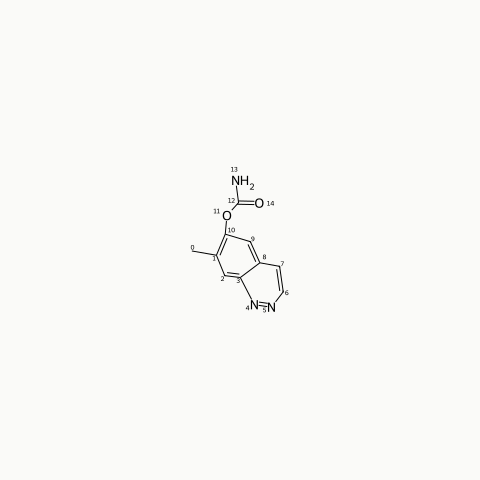 Cc1cc2nnccc2cc1OC(N)=O